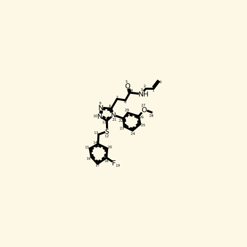 C=CCNC(=O)CCc1nnc(SCc2cccc(F)c2)n1-c1cccc(OC)c1